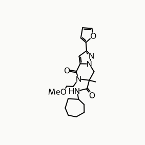 COCCN1C(=O)c2cc(-c3ccco3)nn2CC1(C)C(=O)NC1CCCCCC1